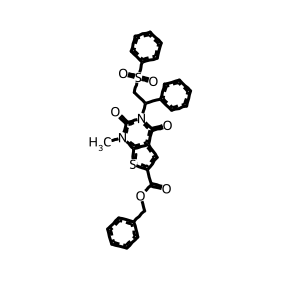 Cn1c(=O)n(C(CS(=O)(=O)c2ccccc2)c2ccccc2)c(=O)c2cc(C(=O)OCc3ccccc3)sc21